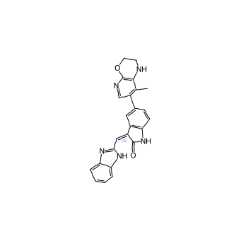 Cc1c(-c2ccc3c(c2)/C(=C/c2nc4ccccc4[nH]2)C(=O)N3)cnc2c1NCCO2